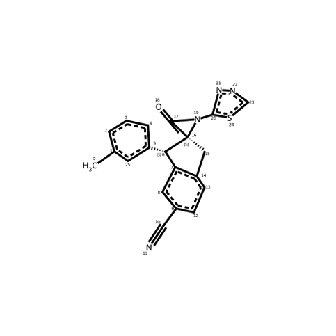 Cc1cccc([C@H]2c3cc(C#N)ccc3C[C@@]23C(=O)N3c2nncs2)c1